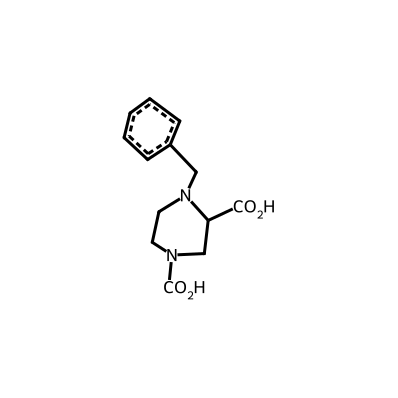 O=C(O)C1CN(C(=O)O)CCN1Cc1ccccc1